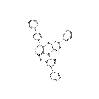 C1=CCC(c2ccc3c(c2)Oc2ccc(-c4ccc(-c5ccccn5)cc4)c4c2B3c2ccc(-c3ccccc3)cc2O4)C=C1